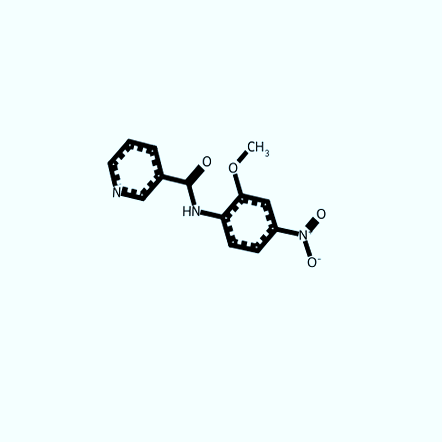 COc1cc([N+](=O)[O-])ccc1NC(=O)c1cccnc1